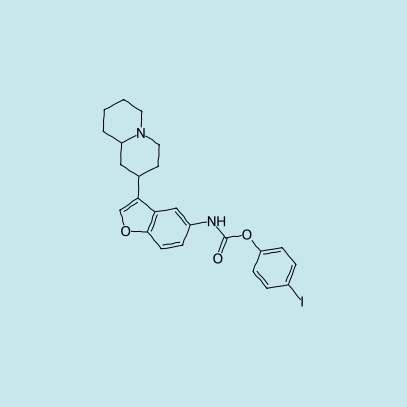 O=C(Nc1ccc2occ(C3CCN4CCCCC4C3)c2c1)Oc1ccc(I)cc1